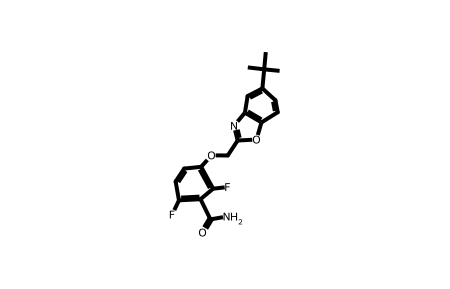 CC(C)(C)c1ccc2oc(COc3ccc(F)c(C(N)=O)c3F)nc2c1